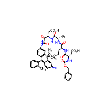 Cc1ccccc1C1=C2C=CC(=N)C=C2[Si](C)(C)c2cc(NC(=O)C(=O)[C@H](CC(=O)O)NC(=O)[C@@H](NC(=O)[C@H](CCC(=O)O)NC(=O)[C@H](CC(=O)O)NC(=O)OCc3ccccc3)C(C)C)ccc21